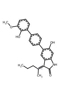 CCC/C(C)=C1/C(=O)Nc2cc(O)c(-c3ccc(-c4cccc(OC)c4O)cc3)cc21